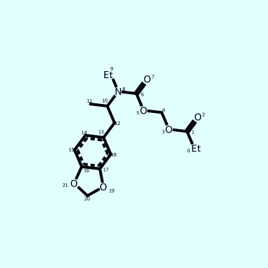 CCC(=O)OCOC(=O)N(CC)C(C)Cc1ccc2c(c1)OCO2